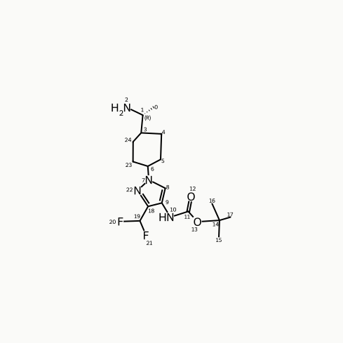 C[C@@H](N)C1CCC(n2cc(NC(=O)OC(C)(C)C)c(C(F)F)n2)CC1